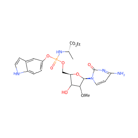 CCOC(=O)[C@H](C)NP(=O)(OC[C@H]1O[C@@H](n2ccc(N)nc2=O)C(OC)C1O)Oc1ccc2[nH]ccc2c1